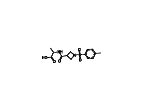 Cc1ccc(S(=O)(=O)N2CC(C(=O)NC(C)C(=O)O)C2)cc1